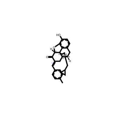 Cc1ccc(/C=C2\C[C@@]3(O)[C@H]4Cc5ccc(O)c6c5[C@@]3(CCN4CC3CC3)[C@@H](O6)C2=O)cc1